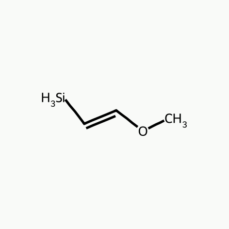 COC=C[SiH3]